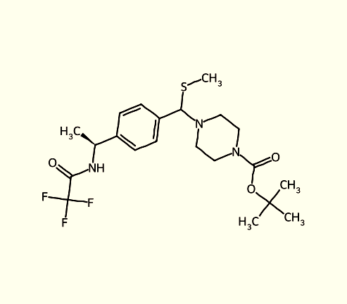 CSC(c1ccc([C@H](C)NC(=O)C(F)(F)F)cc1)N1CCN(C(=O)OC(C)(C)C)CC1